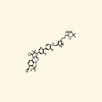 C[C@@H](NC(=O)CCCn1cc(COc2ccc(-c3ncc(N4C(=S)N(c5ccc(C#N)c(C(F)(F)F)c5F)C(=O)C4(C)C)cc3F)cc2F)nn1)C(C)(C)C